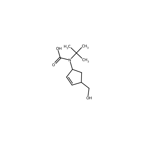 CC(C)(C)N(C(=O)O)C1C=CC(CO)C1